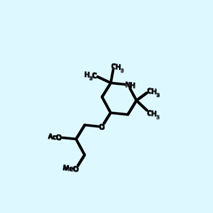 COCC(COC1CC(C)(C)NC(C)(C)C1)OC(C)=O